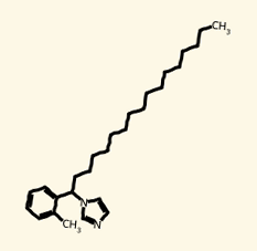 CCCCCCCCCCCCCCCCC(c1ccccc1C)n1ccnc1